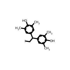 Cc1cc(C(CI)c2cc(C)c(O)c(C)c2)cc(C)c1O